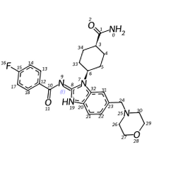 NC(=O)[C@H]1CC[C@@H](n2/c(=N/C(=O)c3ccc(F)cc3)[nH]c3ccc(CN4CCOCC4)cc32)CC1